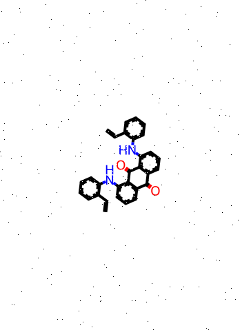 C=Cc1ccccc1Nc1cccc2c1C(=O)c1c(Nc3ccccc3C=C)cccc1C2=O